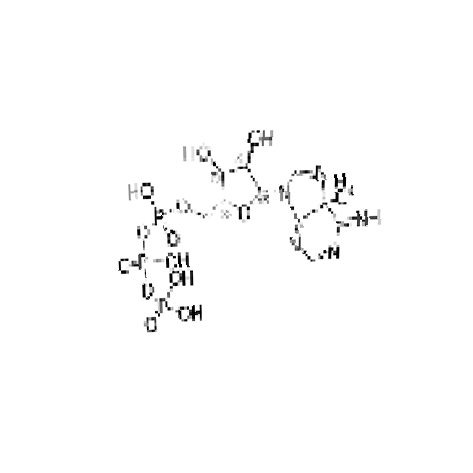 CC12N=CN([C@@H]3O[C@H](COP(=O)(O)OP(=O)(O)OP(=O)(O)O)[C@@H](O)[C@H]3O)C1=NC=NC2=N